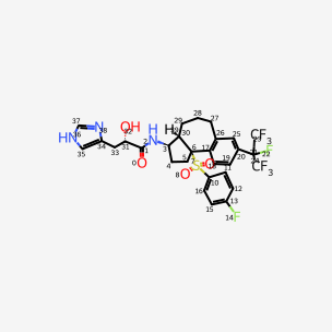 O=C(N[C@@H]1CC[C@@]2(S(=O)(=O)c3ccc(F)cc3)c3ccc(C(F)(C(F)(F)F)C(F)(F)F)cc3CCC[C@@H]12)[C@@H](O)Cc1c[nH]cn1